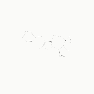 Cc1sc2c(c1Cc1ccccc1)COC1(CC1)c1nnc(C)n1-2